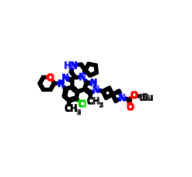 Cc1cc2c(cnn2C2CCCCO2)c(-c2c(N3CCNCC34CCCC4)nn(C3CC4(C3)CN(C(=O)OC(C)(C)C)C4)c2C)c1Cl